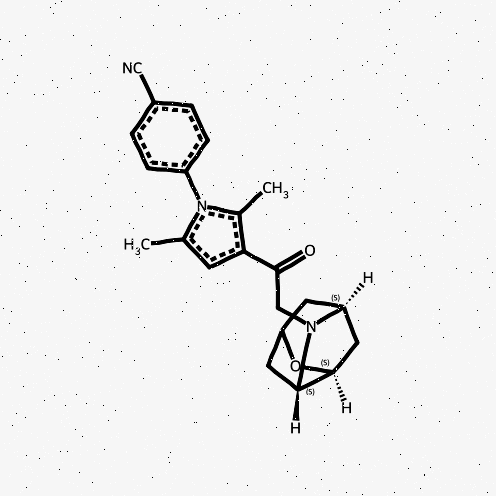 Cc1cc(C(=O)CN2[C@H]3CC4C[C@H]2[C@H](C3)O4)c(C)n1-c1ccc(C#N)cc1